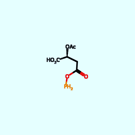 CC(=O)O[C@@H](CC(=O)OP)C(=O)O